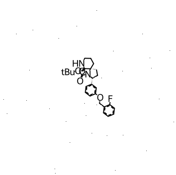 CC(C)(C)OC(=O)N1[C@@H](c2cccc(OCc3ccccc3F)c2)CC[C@]12CCCNC2=O